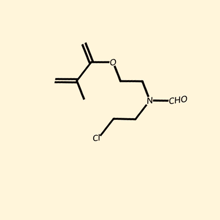 C=C(C)C(=C)OCCN(C=O)CCCl